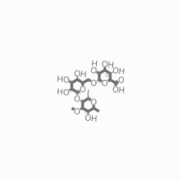 COC1[C@@H](O)C(C)O[C@@H](I)[C@H]1O[C@H]1OC(CO[C@H]2OC(C(=O)O)[C@@H](O)C(O)C2O)[C@@H](O)C(O)C1O